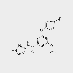 CC(C)Oc1cc(C(=O)Nc2cc[nH]n2)cc(Oc2ccc(F)cc2)n1